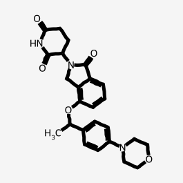 CC(Oc1cccc2c1CN(C1CCC(=O)NC1=O)C2=O)c1ccc(N2CCOCC2)cc1